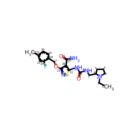 CCN1CCCC1CNC(=O)Nc1snc(OCc2ccc(C)cc2F)c1C(N)=O